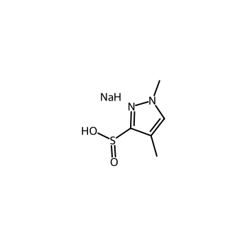 Cc1cn(C)nc1S(=O)O.[NaH]